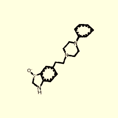 [O-][S+]1CNc2ccc(CCN3CCN(c4ccccc4)CC3)cc21